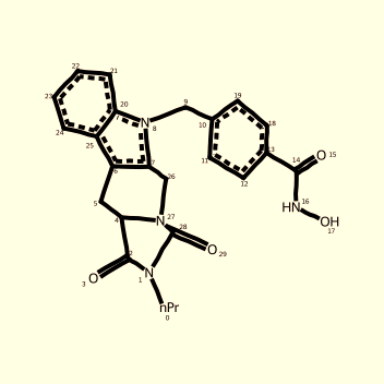 CCCN1C(=O)C2Cc3c(n(Cc4ccc(C(=O)NO)cc4)c4ccccc34)CN2C1=O